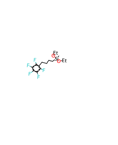 CCO[Si](C)(CCCCc1c(F)c(F)c(F)c(F)c1F)OCC